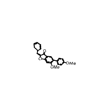 COc1ccc(-c2cc3c(cc2OC)OC(=CC2C=CC=CC2)C3=O)cc1